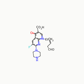 C=CCC=O.CCn1cc(C(=O)O)c(=O)c2cc(F)c(N3CCNCC3)nc21